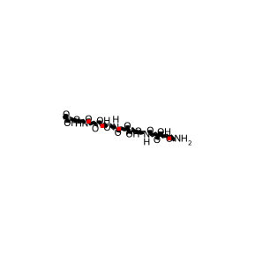 CC(=O)N(O)CCOCCNC(=O)CCC(=O)N(O)CCOCCNC(=O)CCC(=O)N(O)CCOCCNC(=O)CCC(=O)N(O)CCOCCN